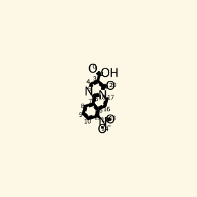 O=C(O)c1cnc2c3cccc([N+](=O)[O-])c3ccn2c1=O